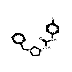 O=C(Nc1ccc(Cl)cc1)N[C@@H]1CCN(Cc2ccccc2)C1